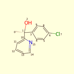 C[C@](O)(c1ccc(Cl)cc1)c1ccccn1